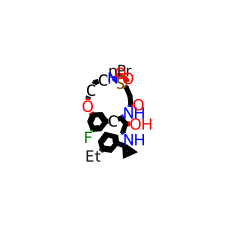 CCCN1CCCCOc2cc(F)cc(c2)CC(C(O)CNC2(c3cccc(CC)c3)CC2)NC(=O)CCS1(=O)=O